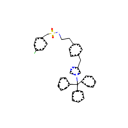 O=S(=O)(Cc1ccc(Cl)cc1)NCCc1ccc(Cc2cn(C(c3ccccc3)(c3ccccc3)c3ccccc3)cn2)cc1